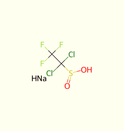 O=S(O)C(Cl)(Cl)C(F)(F)F.[NaH]